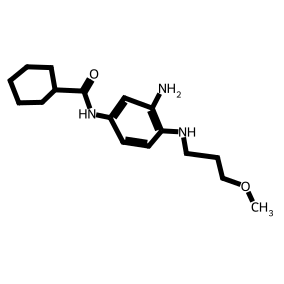 COCCCNc1ccc(NC(=O)C2CCCCC2)cc1N